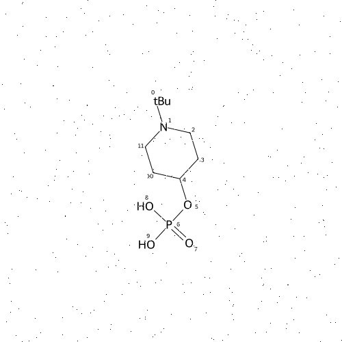 CC(C)(C)N1CCC(OP(=O)(O)O)CC1